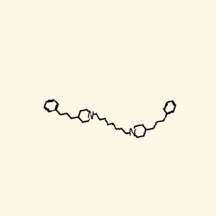 c1ccc(CCCC2CCN(CCCCCCCCN3CCC(CCCc4ccccc4)CC3)CC2)cc1